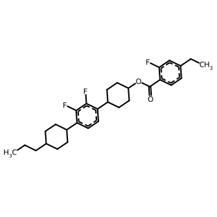 CCCC1CCC(c2ccc(C3CCC(OC(=O)c4ccc(CC)cc4F)CC3)c(F)c2F)CC1